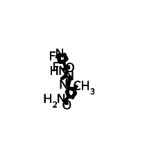 Cc1ccc(C(N)=O)cc1-c1cnc(NC(=O)c2ccnc(F)c2F)cn1